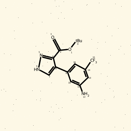 CC(C)(C)OC(=O)c1n[nH]cc1-c1cc(N)cc(C(F)(F)F)c1